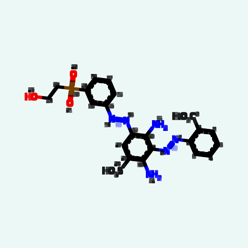 CCOC(=O)c1ccccc1/N=N/c1c(N)c(/N=N/c2cccc(S(=O)(=O)CCO)c2)cc(S(=O)(=O)O)c1N